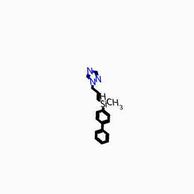 C[SiH](C=CCn1cncn1)c1ccc(-c2ccccc2)cc1